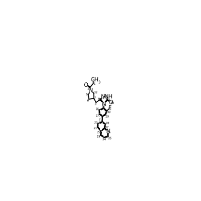 CCC(=O)N1CCC(Cc2n[nH]c(=O)n2-c2ccc(-c3ccc4cccnc4c3)cc2F)C1